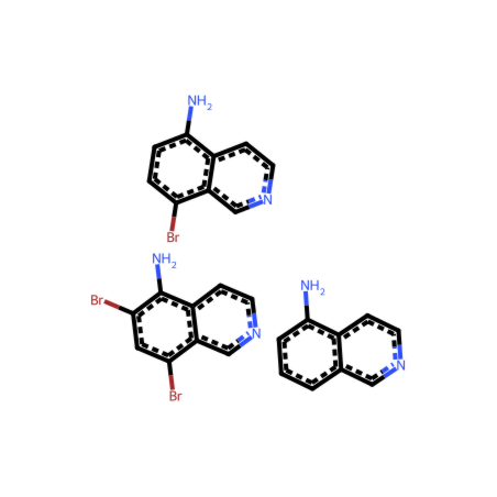 Nc1c(Br)cc(Br)c2cnccc12.Nc1ccc(Br)c2cnccc12.Nc1cccc2cnccc12